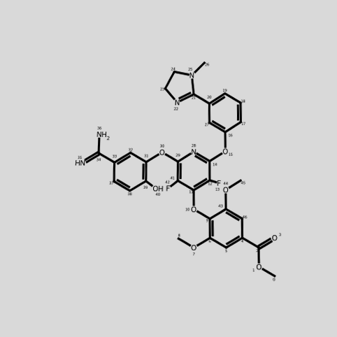 COC(=O)c1cc(OC)c(Oc2c(F)c(Oc3cccc(C4=NCCN4C)c3)nc(Oc3cc(C(=N)N)ccc3O)c2F)c(OC)c1